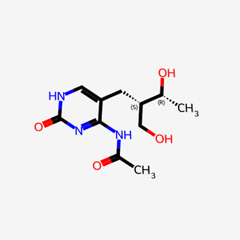 CC(=O)Nc1nc(=O)[nH]cc1C[C@@H](CO)[C@@H](C)O